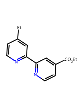 CCOC(=O)c1ccnc(-c2cc(CC)ccn2)c1